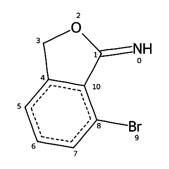 N=C1OCc2cccc(Br)c21